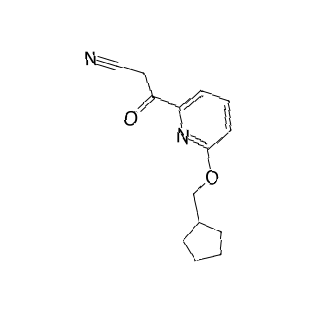 N#CCC(=O)c1cccc(OCC2CCCC2)n1